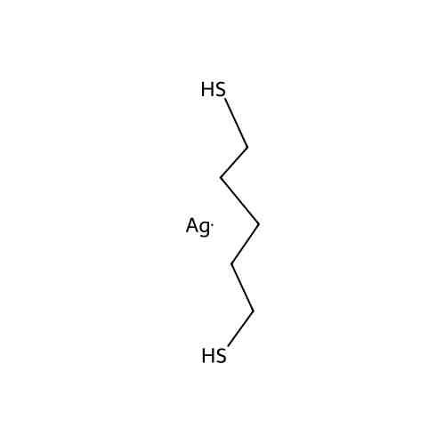 SCCCCCS.[Ag]